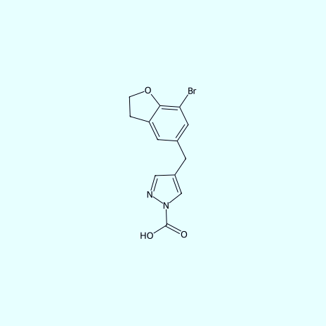 O=C(O)n1cc(Cc2cc(Br)c3c(c2)CCO3)cn1